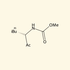 CC[C@@H](C)C(NC(=O)OC)C(C)=O